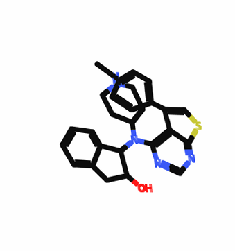 Cc1ccc(-c2csc3ncnc(N(C4CCNCC4)C4c5ccccc5CC4O)c23)cc1